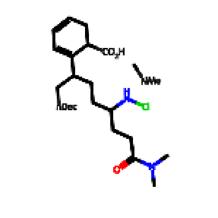 CCCCCCCCCCCC(CCC(CCC(=O)N(C)C)NCl)C1=CC=CCC1C(=O)O.CNC